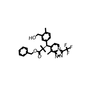 Cc1ccc([C@@H](c2ccn3c(C(F)(F)F)nnc3c2C)C(C)(C)C(=O)OCc2ccccc2)cc1CO